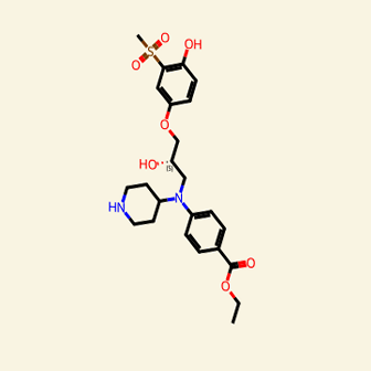 CCOC(=O)c1ccc(N(C[C@H](O)COc2ccc(O)c(S(C)(=O)=O)c2)C2CCNCC2)cc1